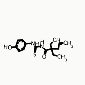 C=CCC(CC)(CC)C(=O)NC(=S)Nc1ccc(O)cc1